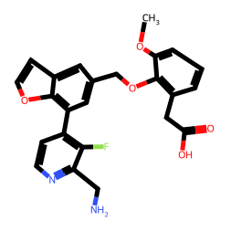 COc1cccc(CC(=O)O)c1OCc1cc(-c2ccnc(CN)c2F)c2occc2c1